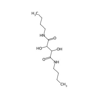 CCCCNC(=O)C(O)C(O)C(=O)NCCCC